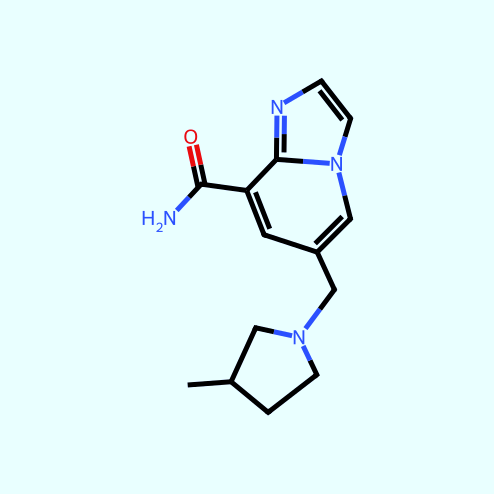 CC1CCN(Cc2cc(C(N)=O)c3nccn3c2)C1